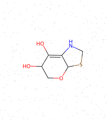 OC1=C2NCSC2OCC1O